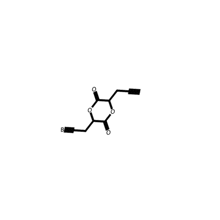 B#CCC1OC(=O)C(CC#C)OC1=O